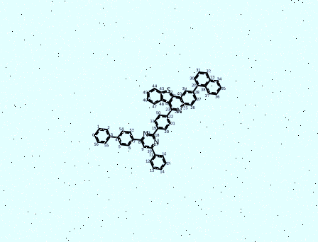 c1ccc(-c2ccc(-c3cc(-c4ccccc4)nc(-c4ccc(-c5nc6ccc(-c7cccc8ccccc78)cc6c6sc7ccccc7c56)cc4)n3)cc2)cc1